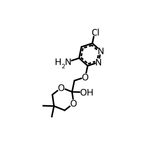 CC1(C)COC(O)(COc2nnc(Cl)cc2N)OC1